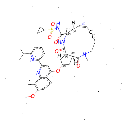 COc1ccc2c(O[C@@H]3C[C@H]4C(=O)N[C@]5(C(=O)NS(=O)(=O)C6CC6)C[C@H]5/C=C\CCCCN(C)C(=O)[C@@H]4C3)cc(-c3cccc(C(C)C)n3)nc2c1C